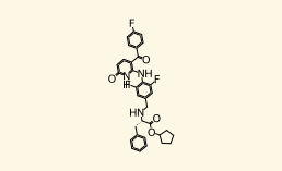 O=C(c1ccc(F)cc1)c1ccc(=O)[nH]c1Nc1c(F)cc(CN[C@@H](Cc2ccccc2)C(=O)OC2CCCC2)cc1F